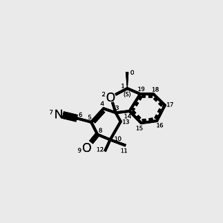 C[C@@H]1OC2(C=C(C#N)C(=O)C(C)(C)C2)c2ccccc21